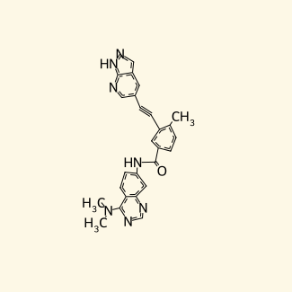 Cc1ccc(C(=O)Nc2ccc3c(N(C)C)ncnc3c2)cc1C#Cc1cnc2[nH]ncc2c1